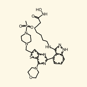 CS(=O)(=O)N1CCN(Cc2cc3nc(-c4cccc5[nH]nc(NCCCCCCC(=O)NO)c45)nc(N4CCOCC4)c3s2)CC1